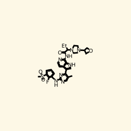 CCC(C(=O)Nc1nccc2c(-c3nc(Nc4cccc(S(C)(=O)=O)c4F)ncc3C)c[nH]c12)N1CCN(C2COC2)CC1